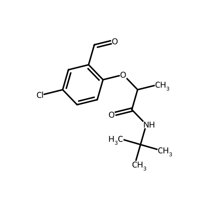 CC(Oc1ccc(Cl)cc1C=O)C(=O)NC(C)(C)C